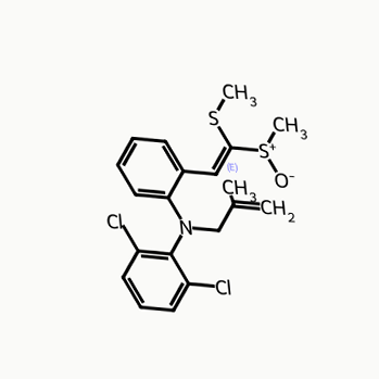 C=C(C)CN(c1ccccc1/C=C(\SC)[S+](C)[O-])c1c(Cl)cccc1Cl